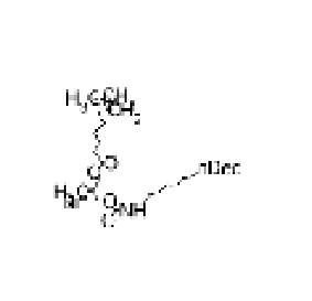 C=C(COC(=O)CCCCC[N+](C)(C)C)COC(=O)NCCCCCCCCCCCCCCCCCC.[Br-]